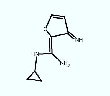 N=C1C=CO/C1=C(/N)NC1CC1